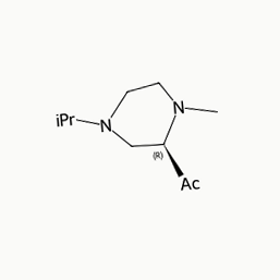 CC(=O)[C@H]1CN(C(C)C)CCN1C